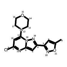 Cc1cc(-c2cc3nc(Cl)cc(N4CCOCC4)n3n2)no1